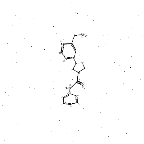 NCc1cc(N2CC[C@@H](C(=O)Nc3ccccc3)C2)ncn1